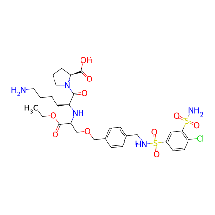 CCOC(=O)C(COCc1ccc(CNS(=O)(=O)c2ccc(Cl)c(S(N)(=O)=O)c2)cc1)N[C@@H](CCCCN)C(=O)N1CCC[C@H]1C(=O)O